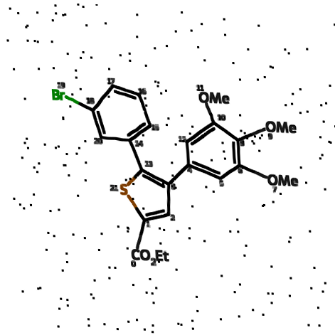 CCOC(=O)c1cc(-c2cc(OC)c(OC)c(OC)c2)c(-c2cccc(Br)c2)s1